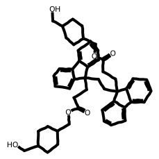 O=C(CCC1(CCC2(CCC(=O)OCC3CCC(CO)CC3)c3ccccc3-c3ccccc32)c2ccccc2-c2ccccc21)OCC1CCC(CO)CC1